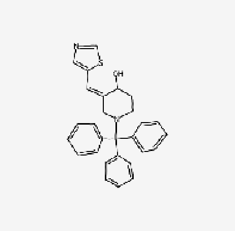 OC1CCN(C(c2ccccc2)(c2ccccc2)c2ccccc2)CC1=Cc1cncs1